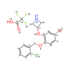 Clc1ccccc1COc1ccc(Br)cc1OC1CNC1.O=C(O)C(F)(F)F